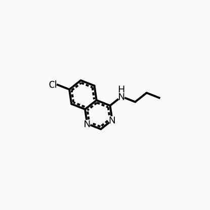 CCCNc1ncnc2cc(Cl)ccc12